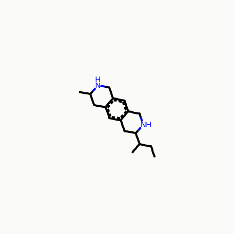 CCC(C)C1Cc2cc3c(cc2CN1)CNC(C)C3